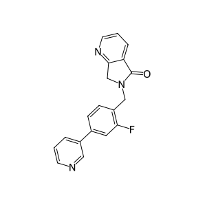 O=C1c2cccnc2CN1Cc1ccc(-c2cccnc2)cc1F